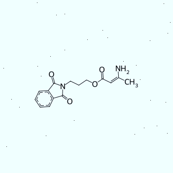 CC(N)=CC(=O)OCCCN1C(=O)c2ccccc2C1=O